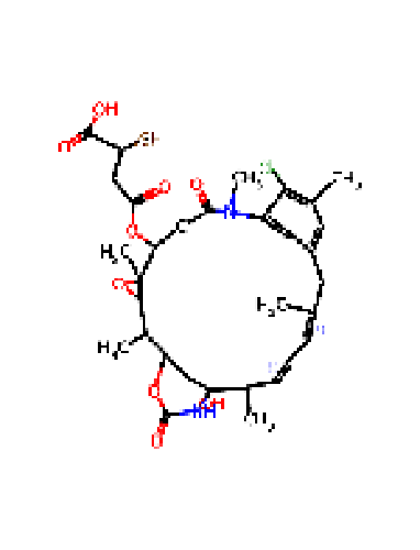 C/C1=C\C=C\C(C)C2(O)CC(OC(=O)N2)C(C)C2OC2(C)C(OC(=O)CC(S)C(=O)O)CC(=O)N(C)c2cc(cc(C)c2Cl)C1